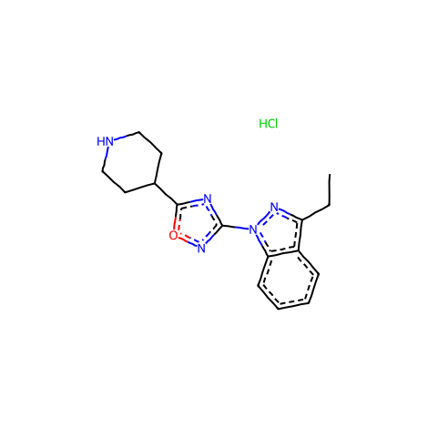 CCc1nn(-c2noc(C3CCNCC3)n2)c2ccccc12.Cl